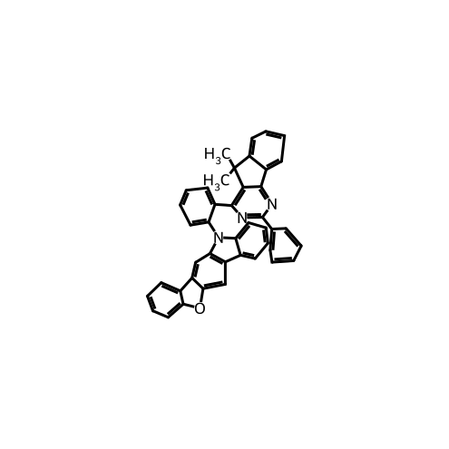 CC1(C)c2ccccc2-c2nc(-c3ccccc3)nc(-c3ccccc3-n3c4ccccc4c4cc5oc6ccccc6c5cc43)c21